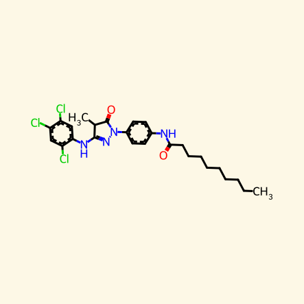 CCCCCCCCCC(=O)Nc1ccc(N2N=C(Nc3cc(Cl)c(Cl)cc3Cl)C(C)C2=O)cc1